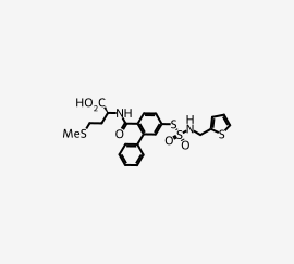 CSCC[C@H](NC(=O)c1ccc(SS(=O)(=O)NCc2cccs2)cc1-c1ccccc1)C(=O)O